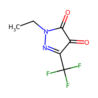 CCN1N=C(C(F)(F)F)C(=O)C1=O